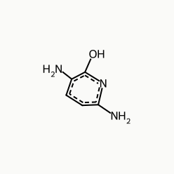 Nc1ccc(N)c(O)n1